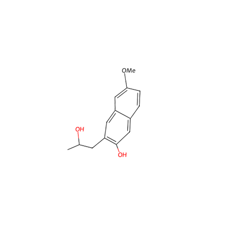 COc1ccc2cc(O)c(CC(C)O)cc2c1